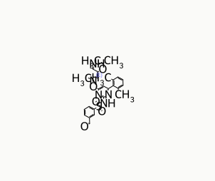 Cc1cccc(C)c1-c1cc(ON(C)/C=C(\C=N)OC(C)C)nc(NS(=O)(=O)c2cccc(C=O)c2)n1